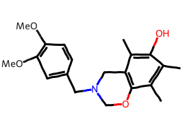 COc1ccc(CN2COc3c(C)c(C)c(O)c(C)c3C2)cc1OC